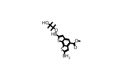 Bc1cc2c(C(=O)OC)cc3cc(BOC(C)(C)C(C)(C)O)sc3c2s1